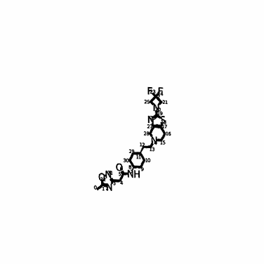 Cc1nc(CC(=O)N[C@H]2CC[C@H](CCN3CCc4sc(N5CC(F)(F)C5)nc4C3)CC2)no1